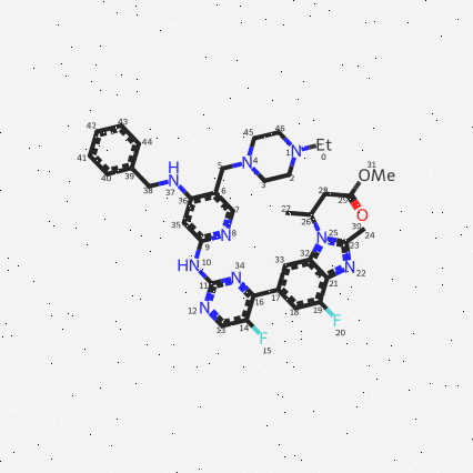 CCN1CCN(Cc2cnc(Nc3ncc(F)c(-c4cc(F)c5nc(C)n(C(C)CC(=O)OC)c5c4)n3)cc2NCc2ccccc2)CC1